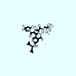 CC1CC(F)(F)CN1C(=O)c1nc(C(=O)NCC(C)(C)O)sc1-c1cnc(NC(C2CC2)C2CC2)cc1C(F)F